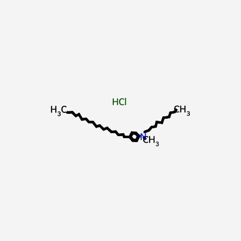 CCCCCCCCCCCCCCCCCCc1ccc(N(C)CCCCCCCCCCC)cc1.Cl